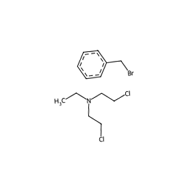 BrCc1ccccc1.CCN(CCCl)CCCl